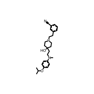 CC(C)Oc1ccc(N(C)CCC2(O)CCN(CCc3cccc(C#N)c3)CC2)cc1